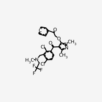 Cc1nn(C)c(OCC(=O)c2ccccc2)c1C(=O)c1ccc(Cl)c(CN(C)CC(F)(F)F)c1Cl